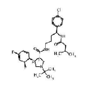 CC(C)CC(=O)NC(CCCNC(=O)[C@@H]1CN(C(C)(C)C)C[C@H]1C1C=CC(F)=CC1F)c1ccc(Cl)cc1